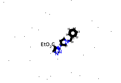 CCOC(=O)c1cnnn1C1CCN(Cc2ccccc2)C1